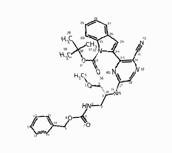 COC[C@@H](CNC(=O)OCc1ccccc1)Nc1cnc(C#N)c(-c2cc3ccccc3n2C(=O)OC(C)(C)C)n1